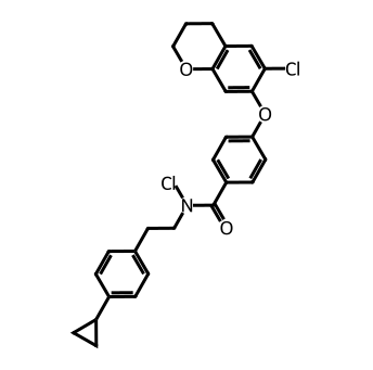 O=C(c1ccc(Oc2cc3c(cc2Cl)CCCO3)cc1)N(Cl)CCc1ccc(C2CC2)cc1